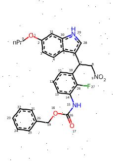 CCCOc1ccc2c(C(C[N+](=O)[O-])c3cccc(NC(=O)OCc4ccccc4)c3F)c[nH]c2c1